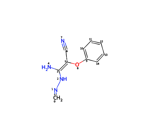 C=NN/C(N)=C(/C#N)Oc1ccccc1